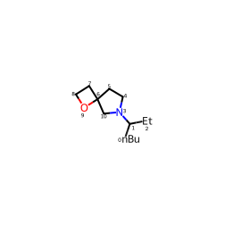 CCCCC(CC)N1CCC2(CCO2)C1